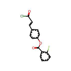 O=C(Cl)C=Cc1ccc(OC(=O)c2ccccc2F)cc1